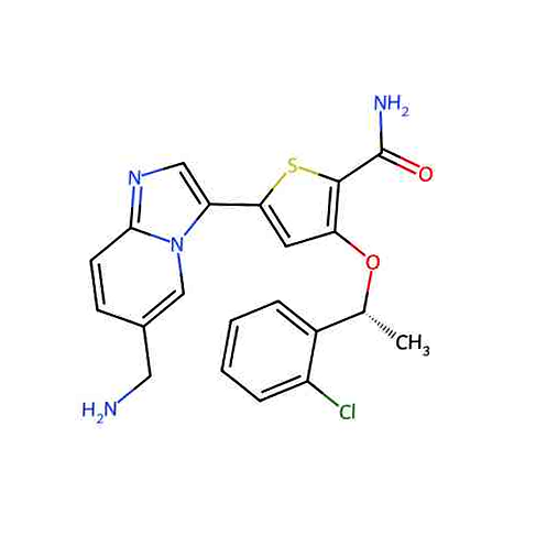 C[C@@H](Oc1cc(-c2cnc3ccc(CN)cn23)sc1C(N)=O)c1ccccc1Cl